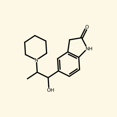 CC(C(O)c1ccc2c(c1)CC(=O)N2)N1CCCCC1